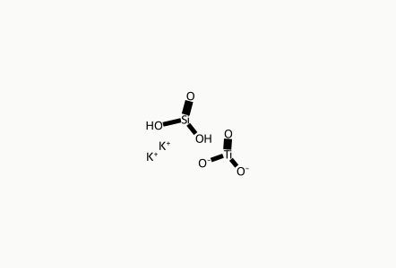 O=[Si](O)O.[K+].[K+].[O]=[Ti]([O-])[O-]